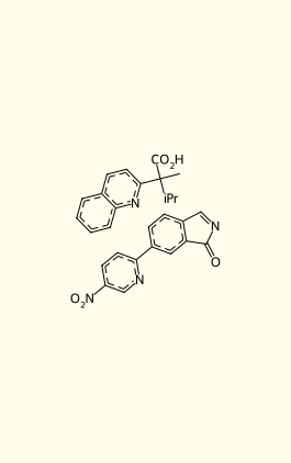 CC(C)C(C)(C(=O)O)c1ccc2ccccc2n1.O=C1N=Cc2ccc(-c3ccc([N+](=O)[O-])cn3)cc21